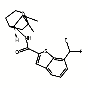 CC1(C)[C@@H](NC(=O)c2cc3cccc(C(F)F)c3s2)C2CCN1CC2